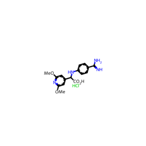 COc1cc(C(Nc2ccc(C(=N)N)cc2)C(=O)O)cc(OC)n1.Cl